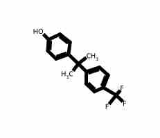 CC(C)(c1ccc(O)cc1)c1ccc(C(F)(F)F)cc1